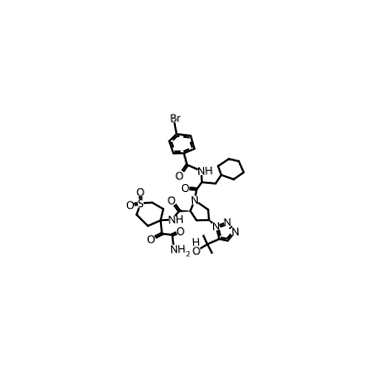 CC(C)(O)c1cnnn1[C@H]1C[C@@H](C(=O)NC2(C(=O)C(N)=O)CCS(=O)(=O)CC2)N(C(=O)C(CC2CCCCC2)NC(=O)c2ccc(Br)cc2)C1